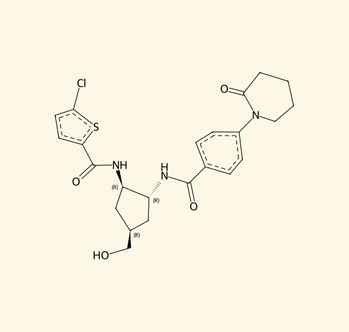 O=C(N[C@@H]1C[C@@H](CO)C[C@H]1NC(=O)c1ccc(Cl)s1)c1ccc(N2CCCCC2=O)cc1